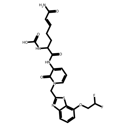 NC(=O)C=CCCC(NC(=O)O)C(=O)Nc1cccn(Cc2nc3cccc(OCC(F)F)c3s2)c1=O